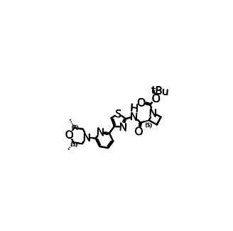 C[C@@H]1CN(c2cccc(-c3csc(NC(=O)[C@@H]4CCN4C(=O)OC(C)(C)C)n3)n2)C[C@H](C)O1